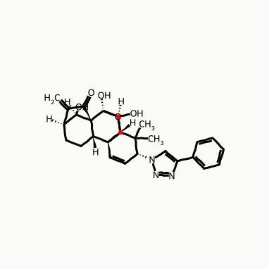 C=C1C(=O)[C@]23[C@H](O)[C@H]1CC[C@H]2[C@]12C=C[C@@H](n4cc(-c5ccccc5)nn4)C(C)(C)[C@H]1[C@H](O)[C@@]3(O)OC2